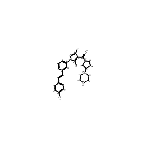 Cc1nn(-c2cccc(/C=C/c3ccc(Cl)cc3)c2)c(C)c1C(=O)N1CCC(N2CCOCC2)C1